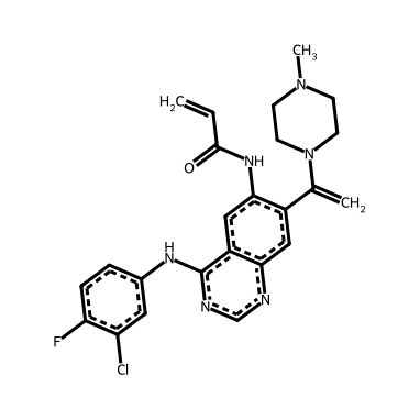 C=CC(=O)Nc1cc2c(Nc3ccc(F)c(Cl)c3)ncnc2cc1C(=C)N1CCN(C)CC1